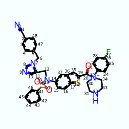 N#Cc1ccc(Cn2cncc2CN(c2ccc3sc(C(=O)[N+]4(c5ccc(F)cc5)CCNCC4)cc3c2)S(=O)(=O)c2ccccc2)cc1